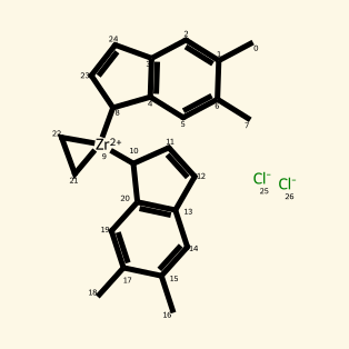 Cc1cc2c(cc1C)[CH]([Zr+2]1([CH]3C=Cc4cc(C)c(C)cc43)[CH2][CH2]1)C=C2.[Cl-].[Cl-]